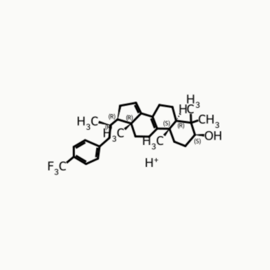 C[C@H](Cc1ccc(C(F)(F)F)cc1)[C@H]1CC=C2C3=C(CC[C@@]21C)[C@@]1(C)CC[C@H](O)C(C)(C)[C@@H]1CC3.[H+]